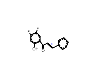 O=C(/C=C/c1ccccc1)c1cc(F)c(F)cc1O